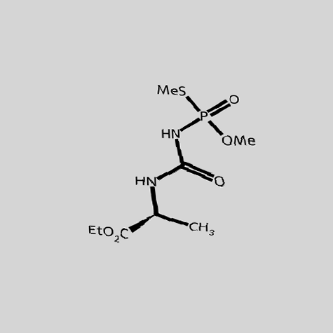 CCOC(=O)[C@H](C)NC(=O)NP(=O)(OC)SC